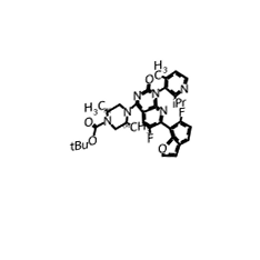 Cc1ccnc(C(C)C)c1-n1c(=O)nc(N2C[C@@H](C)N(C(=O)OC(C)(C)C)C[C@@H]2C)c2cc(F)c(-c3c(F)ccc4ccoc34)nc21